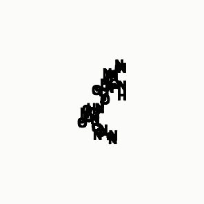 CNCC(O)CN(c1cc(OC)cc(OCCNCC(O)CN(c2cc(OC)cc(OC)c2)c2ccc3ncc(-c4cnn(C)c4)nc3c2)c1)c1ccc2ncc(-c3cnn(C)c3)nc2c1